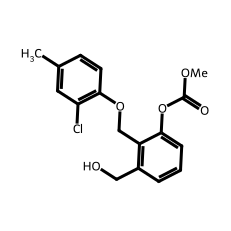 COC(=O)Oc1cccc(CO)c1COc1ccc(C)cc1Cl